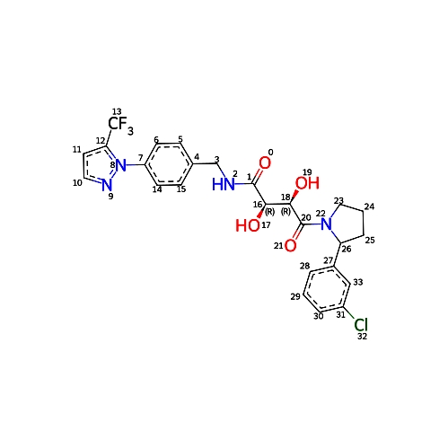 O=C(NCc1ccc(-n2nccc2C(F)(F)F)cc1)[C@H](O)[C@@H](O)C(=O)N1CCCC1c1cccc(Cl)c1